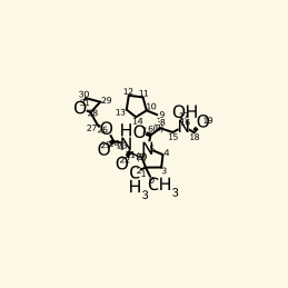 CC1(C)CCN(C(=O)[C@H](CC2CCCC2)CN(O)C=O)[C@@H]1C(=O)NC(=O)OCC1CCO1